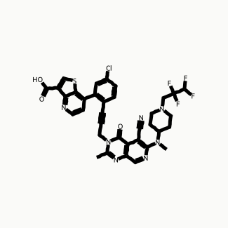 Cc1nc2cnc(N(C)C3CCN(CC(F)(F)C(F)F)CC3)c(C#N)c2c(=O)n1CC#Cc1ccc(Cl)cc1-c1ccnc2c(C(=O)O)csc12